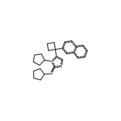 c1ccc2cc(C3(c4csc(=NC5CCCC5)n4C4CCCC4)CCC3)ccc2c1